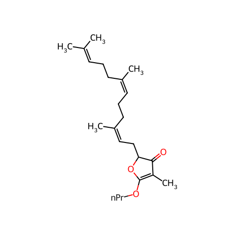 CCCOC1=C(C)C(=O)C(CC=C(C)CCC=C(C)CCC=C(C)C)O1